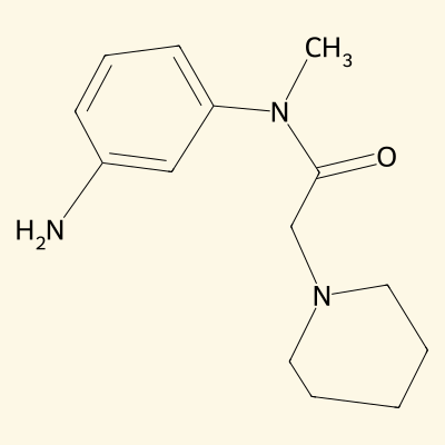 CN(C(=O)CN1CCCCC1)c1cccc(N)c1